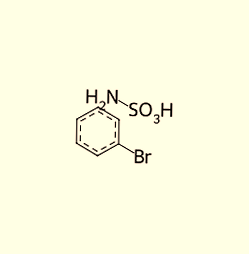 Brc1ccccc1.NS(=O)(=O)O